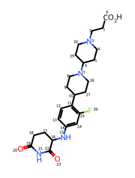 O=C(O)CCN1CCC(N2CCC(c3ccc(NC4CCC(=O)NC4=O)cc3F)CC2)CC1